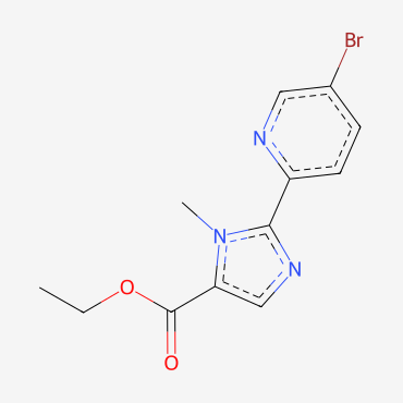 CCOC(=O)c1cnc(-c2ccc(Br)cn2)n1C